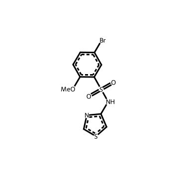 COc1ccc(Br)cc1S(=O)(=O)Nc1cscn1